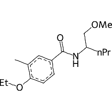 CCCC(COC)NC(=O)c1ccc(OCC)c(C)c1